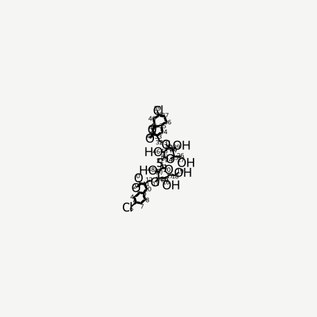 O=c1oc2cc(Cl)ccc2cc1COC1[C@@H](O)C(CO)O[C@@H](S[C@@H]2OC(CO)[C@H](O)[C@H](OCc3cc4ccc(Cl)cc4oc3=O)C2O)[C@@H]1O